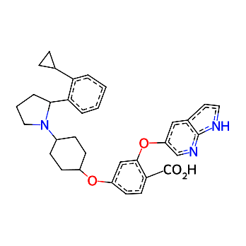 O=C(O)c1ccc(OC2CCC(N3CCCC3c3ccccc3C3CC3)CC2)cc1Oc1cnc2[nH]ccc2c1